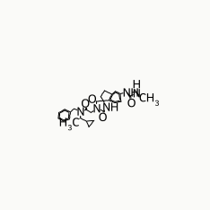 CNC(=O)Nc1ccc2c(c1)CCC21NC(=O)N(CC(=O)N(Cc2ccccc2)[C@@H](C)C2CC2)C1=O